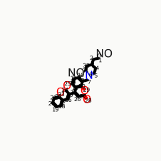 O=NCCC1CCN(Cc2c(N=O)ccc3c(-c4cc5ccccc5oc4=O)cc(=O)oc23)CC1